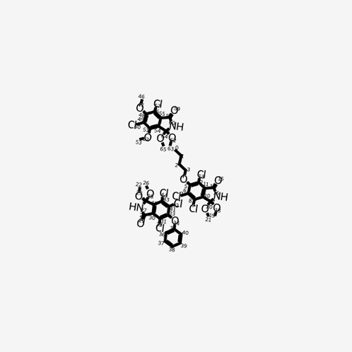 CCCCOc1c(Cl)c(Cl)c2c(c1Cl)C(=O)NC2(OC)OC.COC1(OC)NC(=O)c2c(Cl)c(Oc3ccccc3)c(Cl)c(Cl)c21.COc1c(Cl)c(OC)c2c(c1Cl)C(=O)NC2(OC)OC